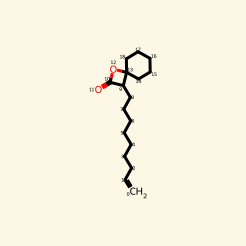 C=CCCCCCCCC1C(=O)OC12CCCCC2